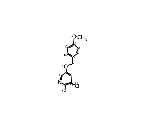 COc1ccc(COc2cnc(F)c(Cl)c2)cc1